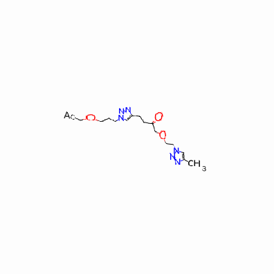 CC(=O)COCCCn1cc(CCC(=O)COCCn2cc(C)nn2)nn1